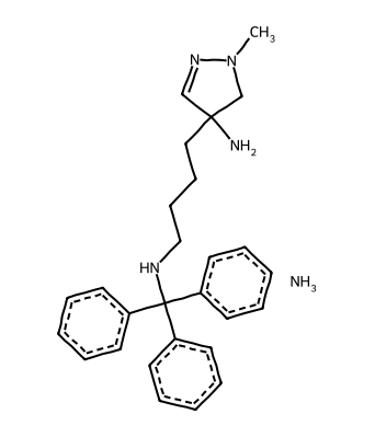 CN1CC(N)(CCCCNC(c2ccccc2)(c2ccccc2)c2ccccc2)C=N1.N